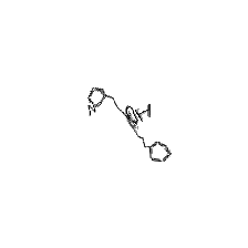 O[C@@H](CCCc1ccccc1)CCc1cccnc1